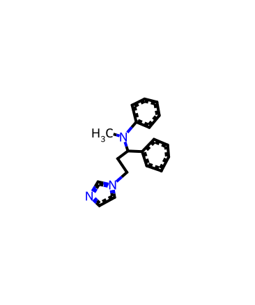 CN(c1ccccc1)C(CCn1ccnc1)c1ccccc1